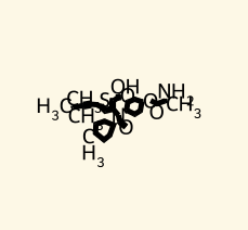 C[C@@H](N)C(=O)OC1CCC(N(c2cc(C#CC(C)(C)C)sc2C(=O)O)C(=O)[C@H]2CC[C@H](C)CC2)CC1